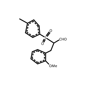 COc1ccccc1CC(C=O)S(=O)(=O)c1ccc(C)cc1